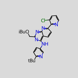 CC(C)COCc1nc(Nc2ccc(C(C)(C)C)nc2)c2ccc(-c3ncccc3Cl)nc2n1